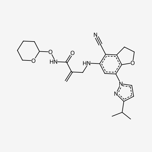 C=C(CNc1cc(-n2ccc(C(C)C)n2)c2c(c1C#N)CCO2)C(=O)NOC1CCCCO1